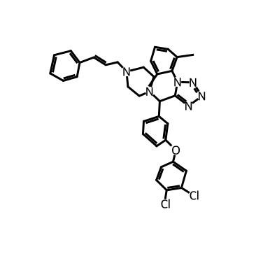 Cc1cccc(C)c1-n1nnnc1C(c1cccc(Oc2ccc(Cl)c(Cl)c2)c1)N1CCN(CC=Cc2ccccc2)CC1